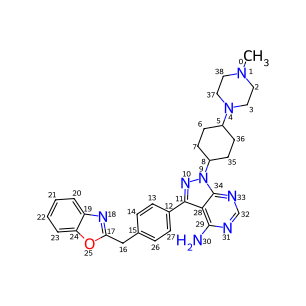 CN1CCN(C2CCC(n3nc(-c4ccc(Cc5nc6ccccc6o5)cc4)c4c(N)ncnc43)CC2)CC1